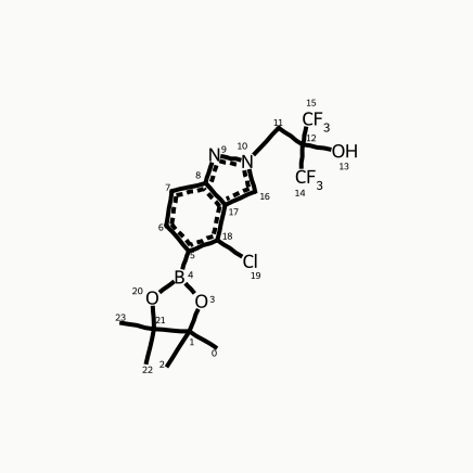 CC1(C)OB(c2ccc3nn(CC(O)(C(F)(F)F)C(F)(F)F)cc3c2Cl)OC1(C)C